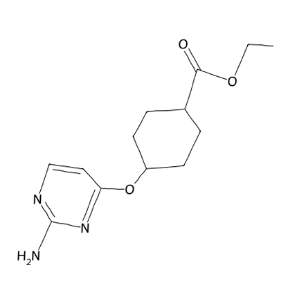 CCOC(=O)C1CCC(Oc2ccnc(N)n2)CC1